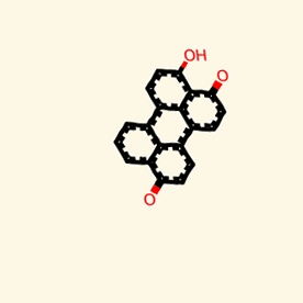 O=c1ccc2c3ccc(=O)c4c(O)ccc(c5cccc1c52)c43